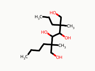 CCCCC(C)(CO)C(O)C(O)C(C)(CO)CCC